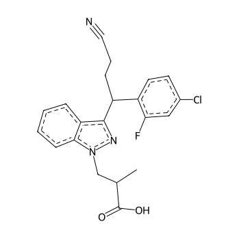 CC(Cn1nc(C(CCC#N)c2ccc(Cl)cc2F)c2ccccc21)C(=O)O